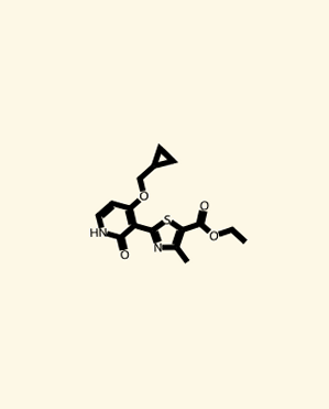 CCOC(=O)c1sc(-c2c(OCC3CC3)cc[nH]c2=O)nc1C